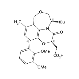 COc1cccc([C@@H]2C=C(C)C3=COC[C@@H](C(C)(C)C)N4C(=O)[C@@H](CC(=O)O)OC2=C34)c1OC